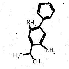 CC(C)c1cc(N)c(-c2ccccc2)cc1N